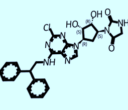 O=C1CNC(=O)N1[C@H]1C[C@@H](n2cnc3c(NCC(c4ccccc4)c4ccccc4)nc(Cl)nc32)[C@H](O)[C@@H]1O